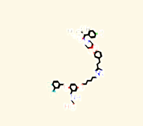 CC(C)[C@H](C(=O)N1CCC2(CC1)Oc1ccc(CCc3cnn(CCCCCCOc4ccc(OCc5ccc(F)c(C(F)(F)F)c5)c(CNCCO)c4)c3)cc1O2)c1ccc(Cl)cc1